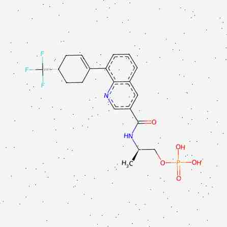 C[C@H](COP(=O)(O)O)NC(=O)c1cnc2c(C3=CC[C@@H](C(F)(F)F)CC3)cccc2c1